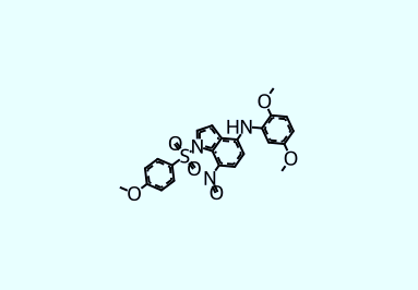 COc1ccc(S(=O)(=O)n2ccc3c(Nc4cc(OC)ccc4OC)ccc(N=O)c32)cc1